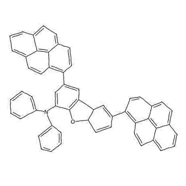 C1=CC2Oc3c(cc(-c4ccc5ccc6cccc7ccc4c5c67)cc3N(c3ccccc3)c3ccccc3)C2C=C1c1ccc2ccc3cccc4ccc1c2c34